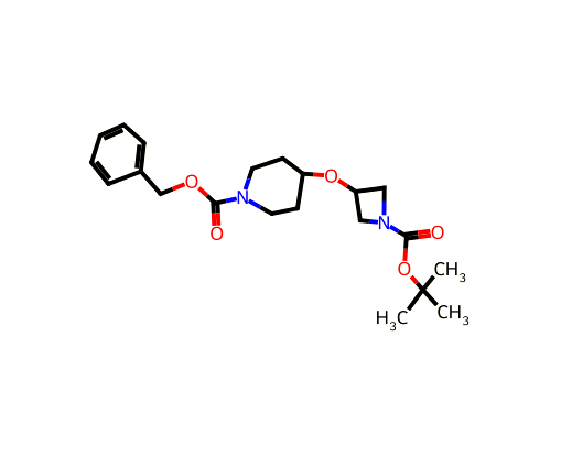 CC(C)(C)OC(=O)N1CC(OC2CCN(C(=O)OCc3ccccc3)CC2)C1